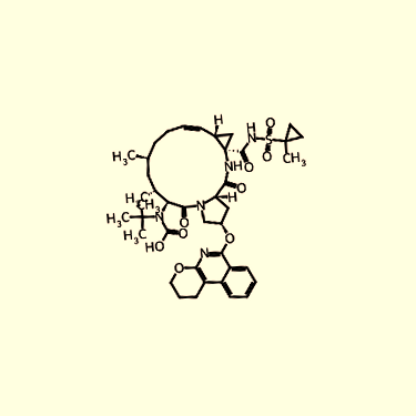 C[C@H]1CCC=C[C@@H]2C[C@@]2(C(=O)NS(=O)(=O)C2(C)CC2)NC(=O)[C@@H]2C[C@@H](Oc3nc4c(c5ccccc35)CCCO4)CN2C(=O)[C@@H](N(C(=O)O)C(C)(C)C)[C@H](C)C1